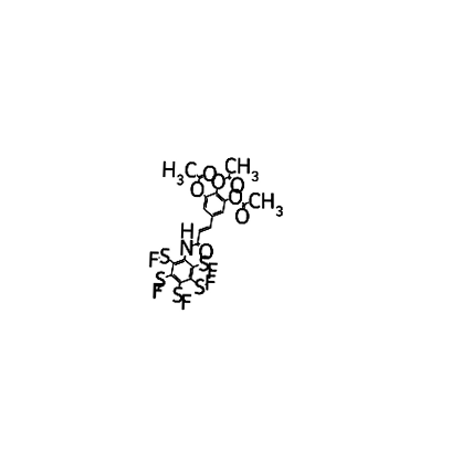 CC(=O)Oc1cc(C=CC(=O)Nc2c(SF)c(SF)c(SF)c(SF)c2SF)cc(OC(C)=O)c1OC(C)=O